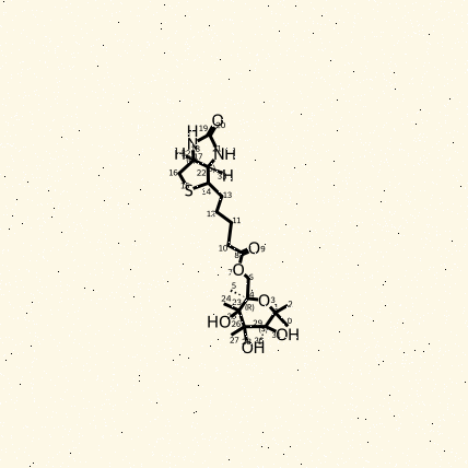 CC1(C)O[C@](C)(COC(=O)CCCCC2SC[C@@H]3NC(=O)N[C@H]23)C(C)(O)C(C)(O)[C@]1(C)O